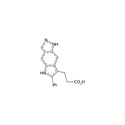 CC(C)c1[nH]c2cc3cn[nH]c3cc2c1CCC(=O)O